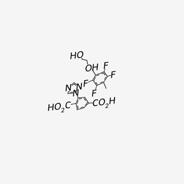 Cc1c(F)c(F)c(C)c(F)c1F.O=C(O)c1ccc(C(=O)O)c(-n2cncn2)c1.OCCO